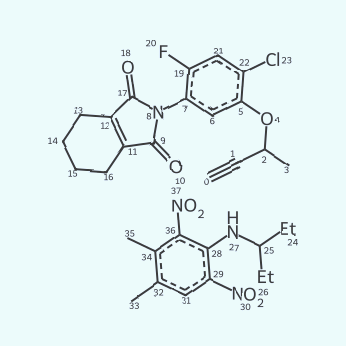 C#CC(C)Oc1cc(N2C(=O)C3=C(CCCC3)C2=O)c(F)cc1Cl.CCC(CC)Nc1c([N+](=O)[O-])cc(C)c(C)c1[N+](=O)[O-]